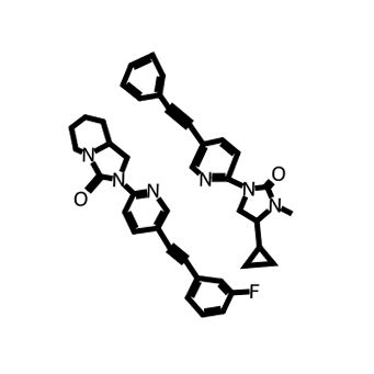 CN1C(=O)N(c2ccc(C#Cc3ccccc3)cn2)CC1C1CC1.O=C1N(c2ccc(C#Cc3cccc(F)c3)cn2)CC2CCCCN12